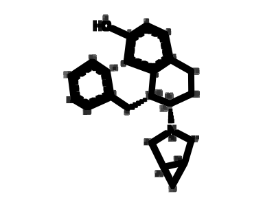 Oc1ccc2c(c1)[C@@H](Cc1ccccc1)[C@@H](N1CC3CC3C1)CC2